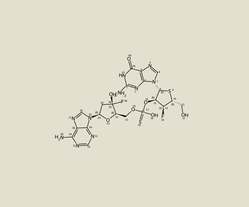 Nc1nc2c(ncn2[C@@H]2S[C@H](CO)[C@@H](F)[C@H]2OP(O)(=S)OC[C@H]2O[C@@H](n3cnc4c(N)ncnc43)C[C@]2(O)F)c(=O)[nH]1